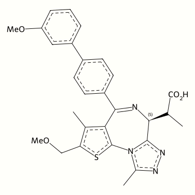 COCc1sc2c(c1C)C(c1ccc(-c3cccc(OC)c3)cc1)=N[C@@H](C(C)C(=O)O)c1nnc(C)n1-2